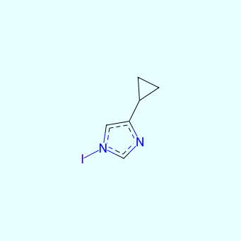 In1cnc(C2CC2)c1